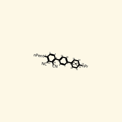 CCCCCc1ccc(-c2ccc(C34CCC(CCC)(CC3)CC4)cc2)c(C#N)c1C#N